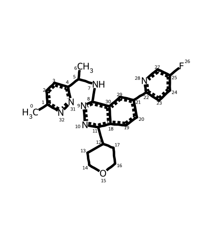 Cc1ccc(C(C)Nc2nnc(C3CCOCC3)c3ccc(-c4ccc(F)cn4)cc23)nn1